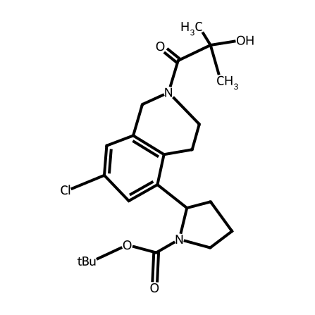 CC(C)(C)OC(=O)N1CCCC1c1cc(Cl)cc2c1CCN(C(=O)C(C)(C)O)C2